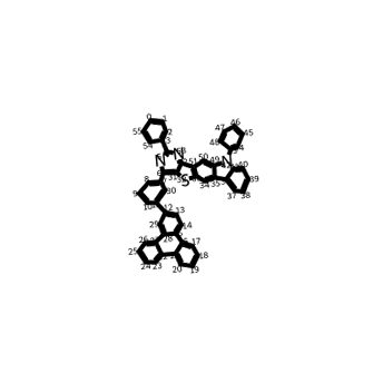 c1ccc(-c2nc(-c3cccc(-c4ccc5c6ccccc6c6ccccc6c5c4)c3)c3sc4cc5c6ccccc6n(-c6ccccc6)c5cc4c3n2)cc1